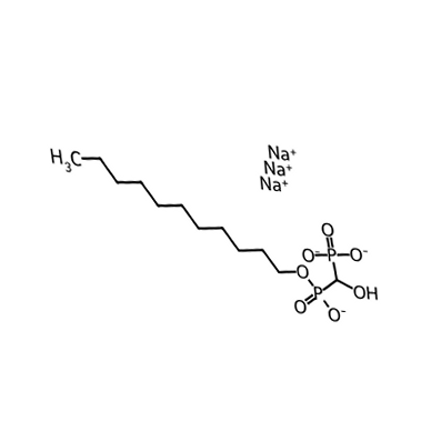 CCCCCCCCCCCOP(=O)([O-])C(O)P(=O)([O-])[O-].[Na+].[Na+].[Na+]